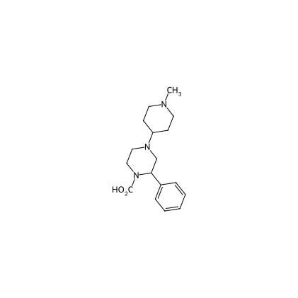 CN1CCC(N2CCN(C(=O)O)C(c3ccccc3)C2)CC1